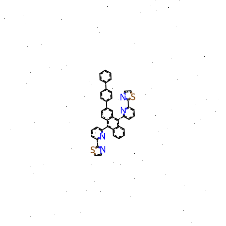 c1ccc(-c2ccc(-c3ccc4c(-c5cccc(-c6nccs6)n5)c5ccccc5c(-c5cccc(-c6nccs6)n5)c4c3)cc2)cc1